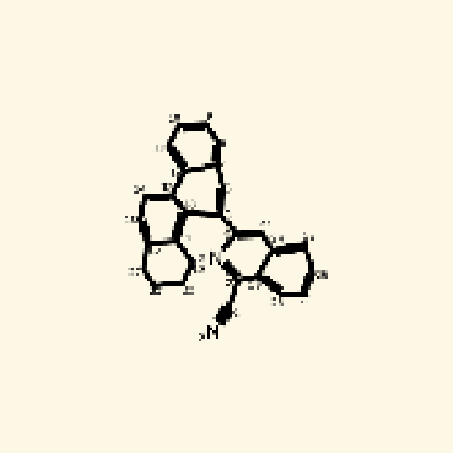 N#Cc1nc(-c2cc3ccccc3c3ccc4c(c23)CCCC4)cc2ccccc12